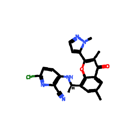 Cc1cc([C@@H](C)Nc2ccc(Cl)nc2C#N)c2oc(-c3ccnn3C)c(C)c(=O)c2c1